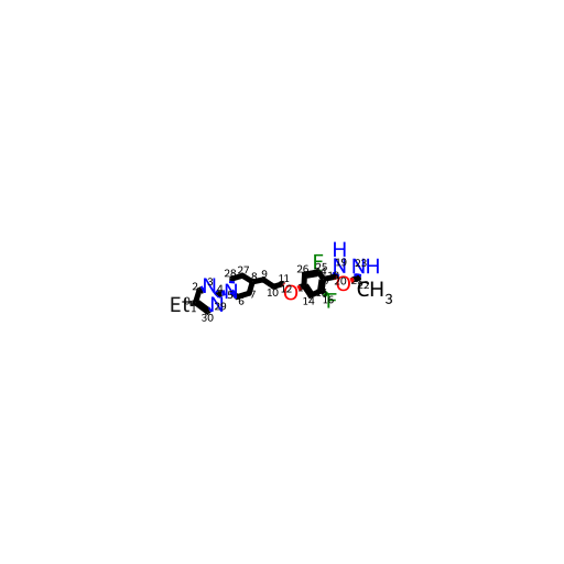 CCc1cnc(N2CCC(CCCOc3cc(F)c(C(=N)OC(C)=N)c(F)c3)CC2)nc1